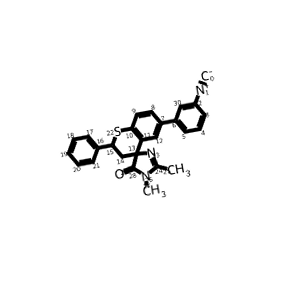 [C-]#[N+]c1cccc(-c2ccc3c(c2)C2(CC(c4ccccc4)S3)N=C(C)N(C)C2=O)c1